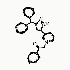 O=C(C[n+]1cccc(-c2cc(C(c3ccccc3)c3ccccc3)n[nH]2)c1)c1ccccc1